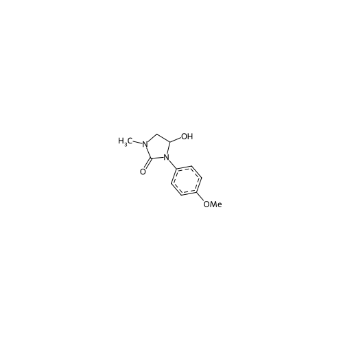 COc1ccc(N2C(=O)N(C)CC2O)cc1